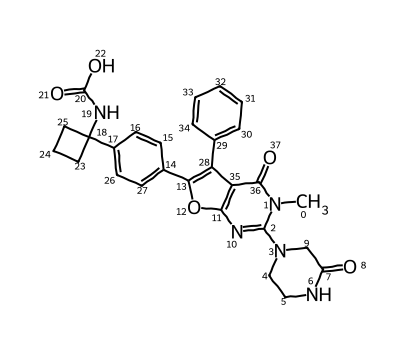 Cn1c(N2CCNC(=O)C2)nc2oc(-c3ccc(C4(NC(=O)O)CCC4)cc3)c(-c3ccccc3)c2c1=O